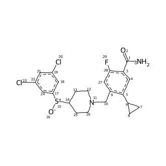 NC(=O)c1cc(C2CC2)c(CN2CCC([S+]([O-])c3cc(Cl)cc(Cl)c3)CC2)cc1F